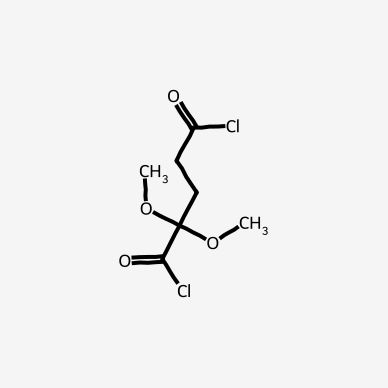 COC(CCC(=O)Cl)(OC)C(=O)Cl